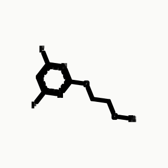 CCOCCOc1nc(F)cc(F)n1